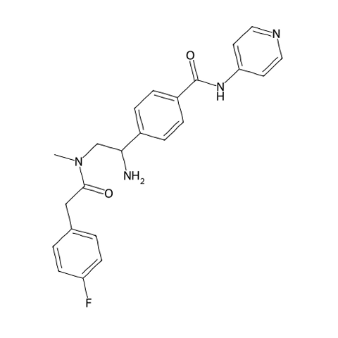 CN(CC(N)c1ccc(C(=O)Nc2ccncc2)cc1)C(=O)Cc1ccc(F)cc1